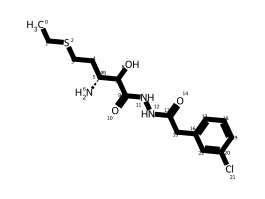 CCSCC[C@@H](N)C(O)C(=O)NNC(=O)Cc1cccc(Cl)c1